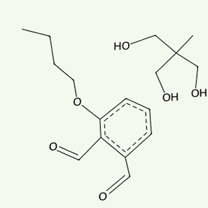 CC(CO)(CO)CO.CCCCOc1cccc(C=O)c1C=O